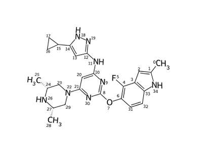 Cc1cc2c(F)c(Oc3nc(Nc4cc(C5CC5)[nH]n4)cc(N4C[C@@H](C)N[C@@H](C)C4)n3)ccc2[nH]1